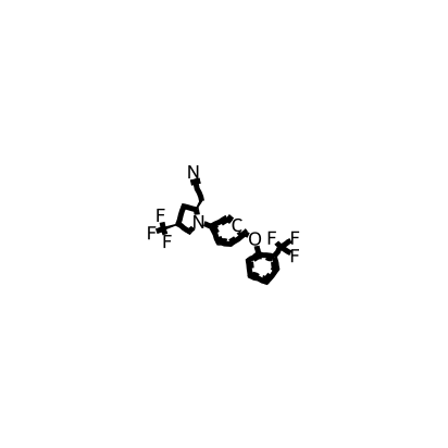 N#CC[C@@H]1C[C@H](C(F)(F)F)CN1c1ccc(Oc2ccccc2C(F)(F)F)cc1